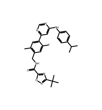 Cc1cc(-c2cc(Nc3ccc(C(C)C)cc3)ncn2)c(F)cc1CNC(=O)c1nc(C(C)(C)C)no1